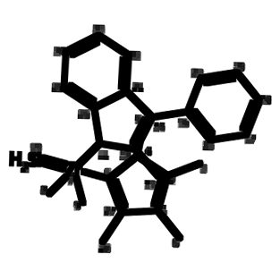 CC1=C(C)C(C)[C]([Zr]([CH3])([CH3])(=[SiH2])[CH]2C(C)=C(c3ccccc3)c3ccccc32)=C1C